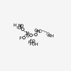 NS(=O)(=O)c1ccc(CCN(Cc2cccc(-c3cccc(C(=O)N4CCC(CCCC5CCNCC5)CC4)c3)c2)C(=O)Cc2cccc(F)c2)cc1.O=C(O)C(F)(F)F